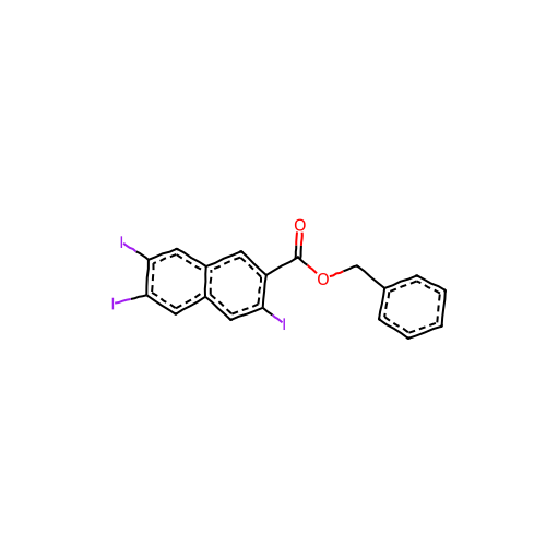 O=C(OCc1ccccc1)c1cc2cc(I)c(I)cc2cc1I